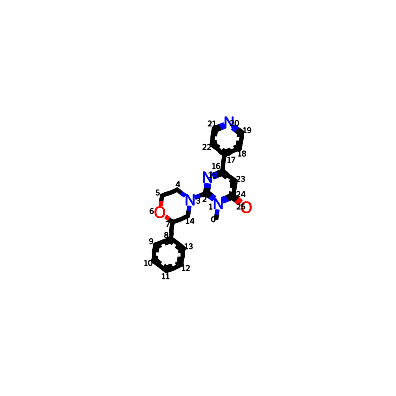 Cn1c(N2CCOC(c3ccccc3)C2)nc(-c2ccncc2)cc1=O